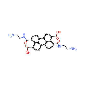 NCCNC(=O)c1ccc2c3ccc(C(=O)O)c4c(C(=O)NCCN)ccc(c5ccc(C(=O)O)c1c52)c43